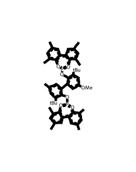 COc1cc(-c2cc(C)cc(C(C)(C)C)c2Op2oc3c(C)cc(C)cc3c3cc(C)cc(C)c3o2)c(Op2oc3c(C)cc(C)cc3c3cc(C)cc(C)c3o2)c(C(C)(C)C)c1